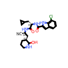 N#C[C@H](C[C@@H]1CCCNC1O)NC(=O)[C@H](CC1CC1)NC(=O)c1cc2cccc(Cl)c2[nH]1